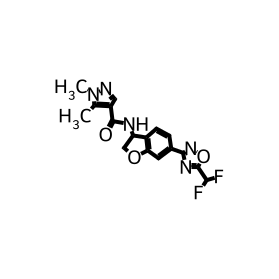 Cc1c(C(=O)NC2COc3cc(-c4noc(C(F)F)n4)ccc32)cnn1C